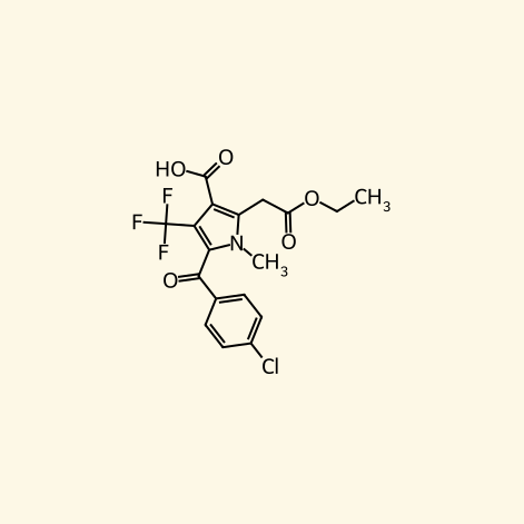 CCOC(=O)Cc1c(C(=O)O)c(C(F)(F)F)c(C(=O)c2ccc(Cl)cc2)n1C